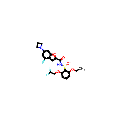 CCOc1cccc(OCC(F)F)c1[S+]([O-])NC(=O)c1cc2c(F)cc(N3CCC3)cc2o1